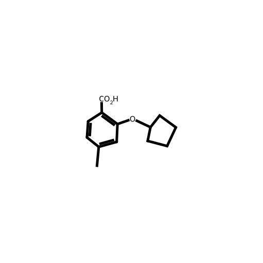 Cc1ccc(C(=O)O)c(OC2CCCC2)c1